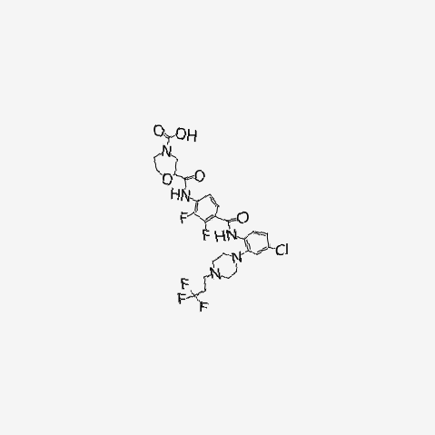 O=C(Nc1ccc(Cl)cc1N1CCN(CCC(F)(F)F)CC1)c1ccc(NC(=O)C2CN(C(=O)O)CCO2)c(F)c1F